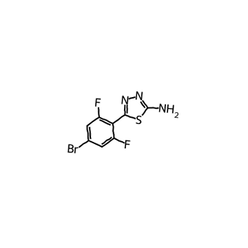 Nc1nnc(-c2c(F)cc(Br)cc2F)s1